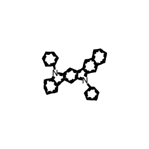 c1ccc(-n2c3ccccc3c3cc4c(cc32)c2cc3ccccc3cc2n4-c2ccccc2)cc1